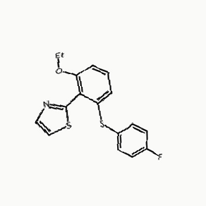 CCOc1cccc(Sc2ccc(F)cc2)c1-c1nccs1